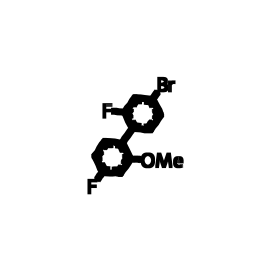 COc1cc(F)ccc1-c1ccc(Br)cc1F